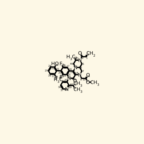 C=CC(=O)N1CC2CN(CC(=O)OC)c3c(c4cc(F)c(-c5c(O)cccc5F)c(F)c4n(-c4c(C)ccnc4C(C)C)c3=O)N2CC1C